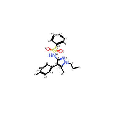 C=CCn1nc(NS(=O)(=O)c2ccccc2)c(-c2ccc(C)cc2)c1C